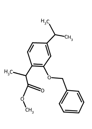 COC(=O)C(C)c1ccc(C(C)C)cc1OCc1ccccc1